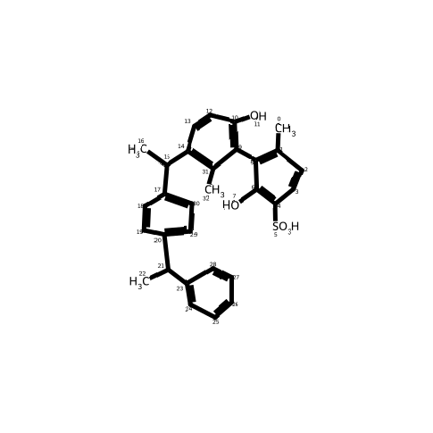 Cc1ccc(S(=O)(=O)O)c(O)c1-c1c(O)ccc(C(C)c2ccc(C(C)c3ccccc3)cc2)c1C